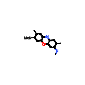 CN=c1cc2oc3cc(NC)c(C)cc3nc-2cc1C